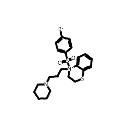 O=S(=O)(c1ccc(Br)cc1)[N+]1(CCCN2CCCCC2)CCSc2ccccc21